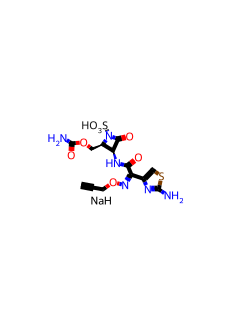 C#CCON=C(C(=O)N[C@@H]1C(=O)N(S(=O)(=O)O)[C@@H]1COC(N)=O)c1csc(N)n1.[NaH]